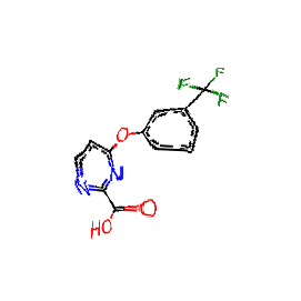 O=C(O)c1nccc(Oc2cccc(C(F)(F)F)c2)n1